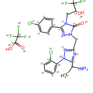 CC(N)c1nc(Cn2nc(-c3ccc(Cl)cc3)n(CC(O)C(F)(F)F)c2=O)nn1-c1ccccc1Cl.O=C(O)C(F)(F)F